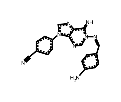 N#Cc1ccc(-n2cnc3c(=N)n(/N=C\c4ccc(N)cc4)cnc32)cc1